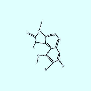 COc1c(Br)c(F)cc2ncc3c(c12)n(C)c(=O)n3C